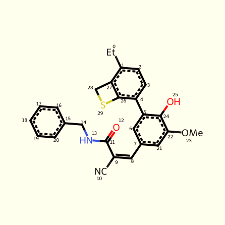 CCc1ccc(-c2cc(C=C(C#N)C(=O)NCc3ccccc3)cc(OC)c2O)c2c1CS2